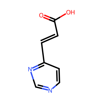 O=C(O)C=Cc1ccncn1